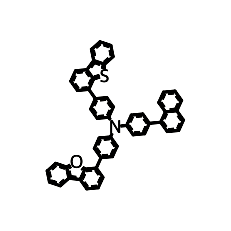 c1ccc2c(-c3ccc(N(c4ccc(-c5cccc6c5oc5ccccc56)cc4)c4ccc(-c5cccc6c5sc5ccccc56)cc4)cc3)cccc2c1